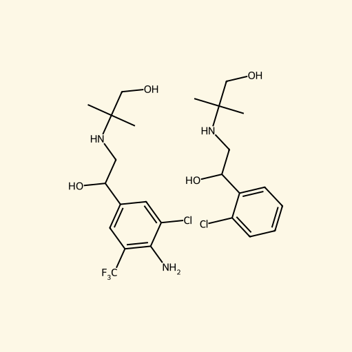 CC(C)(CO)NCC(O)c1cc(Cl)c(N)c(C(F)(F)F)c1.CC(C)(CO)NCC(O)c1ccccc1Cl